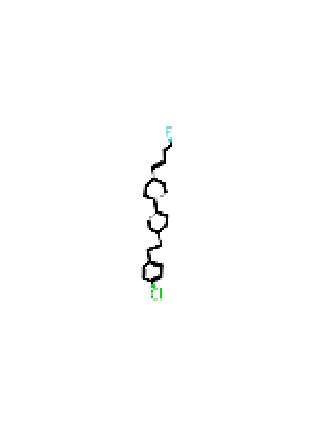 FCCC=C[C@H]1CC[C@H]([C@H]2CC[C@H](CCc3ccc(Cl)cc3)CC2)CC1